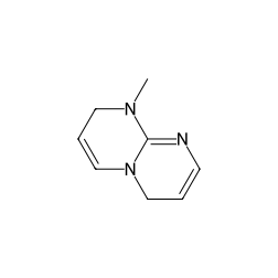 CN1CC=CN2CC=CN=C12